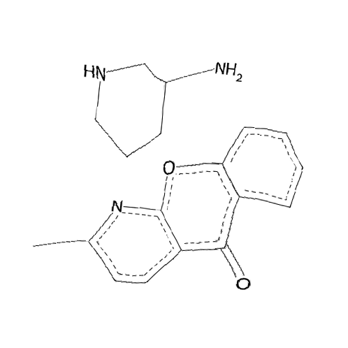 Cc1ccc2c(=O)c3ccccc3oc2n1.NC1CCCNC1